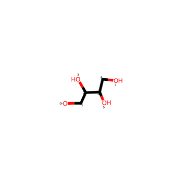 [O]CC(O)C(O)CO